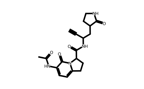 C#CC(CC1CCNC1=O)NC(=O)C1CCc2ccc(NC(C)=O)c(=O)n21